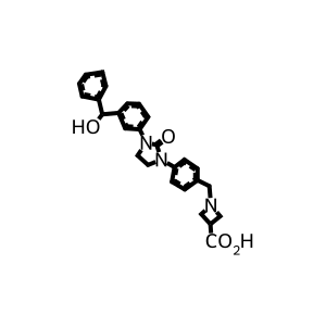 O=C(O)C1CN(Cc2ccc(N3CCN(c4cccc(C(O)c5ccccc5)c4)C3=O)cc2)C1